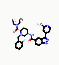 CCN(CC)C(=O)[C@@H]1CC[C@@H](NC(=O)c2ccc3[nH]nc(-c4ccnc(C)c4)c3c2)CN1Cc1ccccc1F